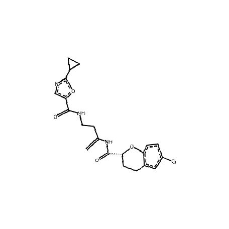 C=C(CCNC(=O)c1cnc(C2CC2)o1)NC(=O)[C@H]1CCc2cc(Cl)ccc2O1